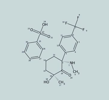 CN[C@@]1(c2ccc(C(F)(F)F)cc2)CCC[C@](C)(O)C1=O.O=S(=O)(O)c1ccccc1